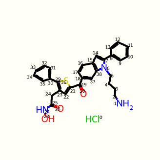 Cl.NCCCCn1c(-c2ccccc2)cc2ccc(C(=O)c3cc(CC(=O)NO)c(-c4ccccc4)s3)cc21